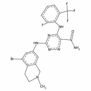 CN1CCc2c(Br)cc(Nc3nnc(C(N)=O)c(Nc4c(F)cccc4C(F)(F)F)n3)cc2C1